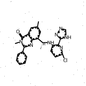 Cc1cc([C@@H](C)Nc2ccc(Cl)nc2-c2nnc[nH]2)c2nc(-c3ccccc3)n(C)c(=O)c2c1